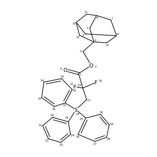 O=C(OCC12CC3CC(CC(C3)C1)C2)C(F)(F)CS(c1ccccc1)(c1ccccc1)c1ccccc1